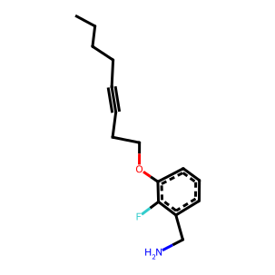 CCCCC#CCCOc1cccc(CN)c1F